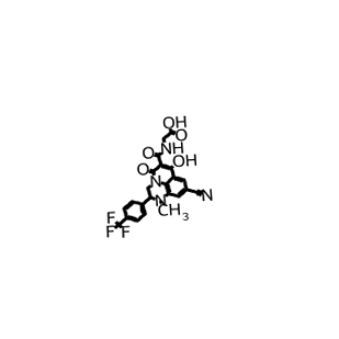 CN1c2cc(C#N)cc3c(O)c(C(=O)NCC(=O)O)c(=O)n(c23)CC1c1ccc(C(F)(F)F)cc1